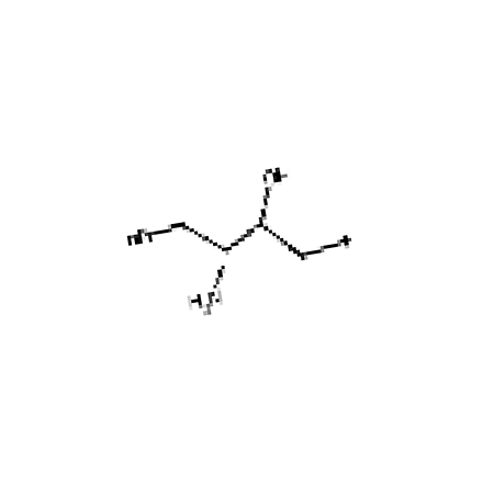 CCCC[C@@H](N)C(O)CF